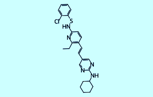 CCc1nc(NSc2ccccc2Cl)ccc1/C=C/c1cnc(NC2CCCCC2)nc1